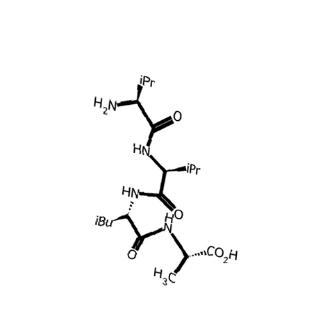 CC[C@H](C)[C@H](NC(=O)[C@@H](NC(=O)[C@@H](N)C(C)C)C(C)C)C(=O)N[C@@H](C)C(=O)O